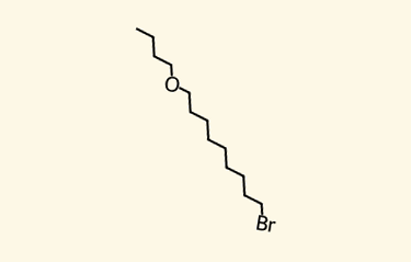 CCCCOCCCCCCCCCBr